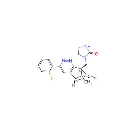 CC1(C)[C@@H]2CC[C@@]1(CN1CCNC1=O)c1nnc(-c3ccccc3F)cc12